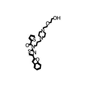 O=C(c1cccs1)N(CCCN1CCN(CCOCCO)CC1)c1nc(-c2cc3ccccc3o2)cs1